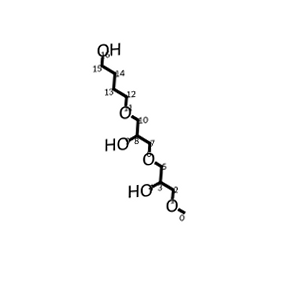 COCC(O)COCC(O)COCCCCO